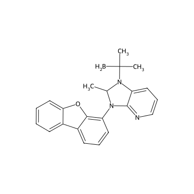 BC(C)(C)N1c2cccnc2N(c2cccc3c2oc2ccccc23)C1C